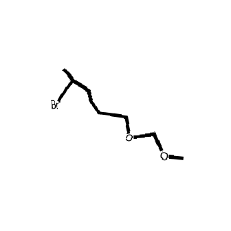 COCOCCCC(C)Br